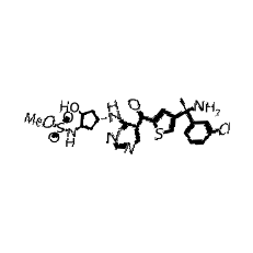 COS(=O)(=O)N[C@@H]1C[C@@H](Nc2ncncc2C(=O)c2cc([C@](C)(N)c3cccc(Cl)c3)cs2)C[C@@H]1O